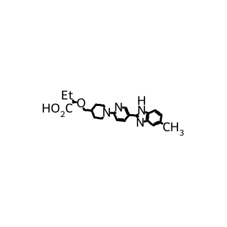 CCC(OCC1CCN(c2ccc(-c3nc4cc(C)ccc4[nH]3)cn2)CC1)C(=O)O